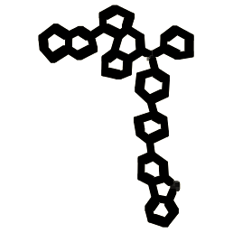 c1ccc(N(c2ccc(-c3ccc(-c4ccc5c(c4)oc4ccccc45)cc3)cc2)c2cc3cccc(-c4ccc5ccccc5c4)c3c3ccccc23)cc1